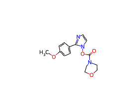 COc1ccc(-c2nccn2OC(=O)N2CCOCC2)cc1